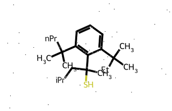 CCCC(C)(C)c1cccc(C(C)(C)CC)c1C(C)(S)CC(C)C